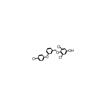 Oc1cc(Cl)c(OCc2cccc(Oc3ccc(Cl)cc3)c2)c(Cl)c1